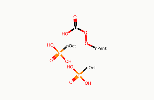 CCCCCCCCP(=O)(O)O.CCCCCCCCP(=O)(O)O.CCCCCO[O][Ti](=[O])[OH]